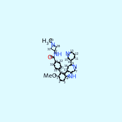 COc1ccc2[nH]c3cnc(-c4cccnc4)cc3c2c1-c1ccc(C(=O)NC2CN(C)C2)cc1